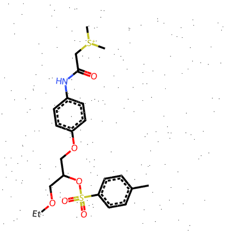 CCOCC(COc1ccc(NC(=O)C[S+](C)C)cc1)OS(=O)(=O)c1ccc(C)cc1